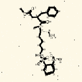 COC(=O)C[C@@H](Cc1ccccc1)C(=O)N(C)[C@H](CN)CCCCNS(=O)(=O)c1ccccc1[N+](=O)[O-]